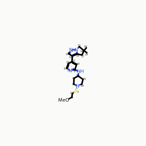 COCCSN1CCC(Nc2cc(-c3cnn4c3CC(C)(C)C4)ccn2)CC1